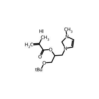 C=C(C)C(=O)OC(COC(C)(C)C)CN1C=CN(C)C1.I